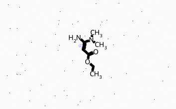 CCOC(=O)/C=C(/N)N(C)C